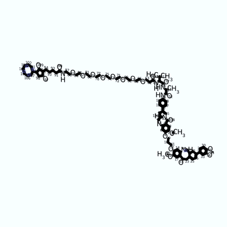 COc1cc2c(cc1OCCCOc1cc3c(cc1OC)C(=O)CC1=CC=C(c4ccc5c(c4)OCO5)C[C@H]1/C=N\3)N=C[C@@H]1CC(c3ccc(NC(=O)[C@H](C)NC(=O)C(NC(=O)CCOCCOCCOCCOCCOCCOCCOCCOCCNC(=O)CCCCC4C(=O)CC(C5=C/C=C\C=C/C=C\5)C4=O)C(C)C)cc3)=CN1C2=O